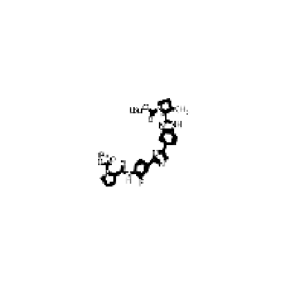 C=C1CCN(C(=O)OC(C)(C)C)[C@@H]1c1nc2cc(-c3cnc(-c4ccc(NC(=O)C5CCCN5C(=O)OC(C)(C)C)c(F)c4)o3)ccc2[nH]1